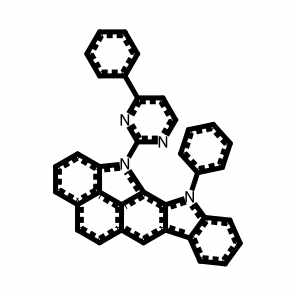 c1ccc(-c2ccnc(-n3c4cccc5ccc6cc7c8ccccc8n(-c8ccccc8)c7c3c6c54)n2)cc1